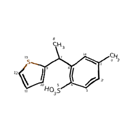 Cc1ccc(S(=O)(=O)O)c(C(C)c2cccs2)c1